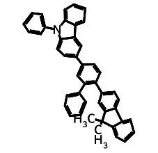 CC1(C)c2ccccc2-c2ccc(-c3ccc(-c4ccc5c(c4)c4ccccc4n5-c4ccccc4)cc3-c3ccccc3)cc21